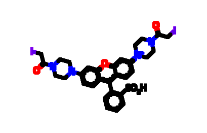 O=C(CI)N1CCN(c2ccc3c(-c4ccccc4S(=O)(=O)O)c4ccc(=[N+]5CCN(C(=O)CI)CC5)cc-4oc3c2)CC1